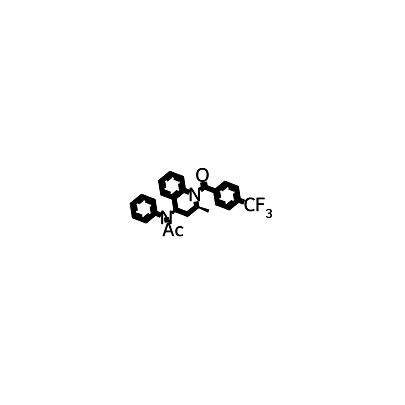 CC(=O)N(c1ccccc1)[C@@H]1C[C@H](C)N(C(=O)c2ccc(C(F)(F)F)cc2)c2ccccc21